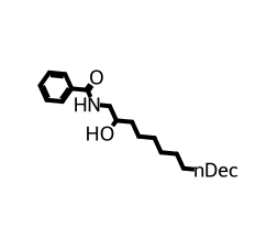 CCCCCCCCCCCCCCCCC(O)CNC(=O)c1ccccc1